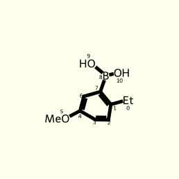 CCc1ccc(OC)cc1B(O)O